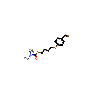 CN(C)C(=O)SCCCCSc1ccc(C=S)cc1